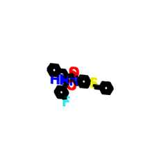 O=C(NC(Cc1ccccc1)C(=O)Nc1ccc(SCc2ccccc2)cc1)c1cccc(F)c1